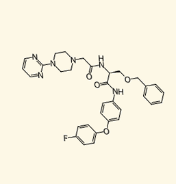 O=C(CN1CCN(c2ncccn2)CC1)N[C@@H](COCc1ccccc1)C(=O)Nc1ccc(Oc2ccc(F)cc2)cc1